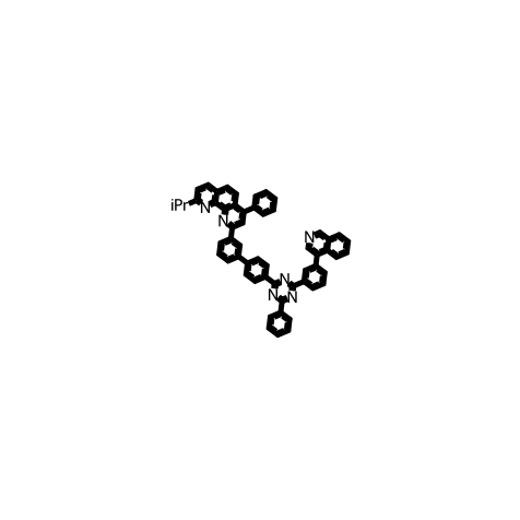 CC(C)c1ccc2ccc3c(-c4ccccc4)cc(-c4cccc(-c5ccc(-c6nc(-c7ccccc7)nc(-c7cccc(-c8cncc9ccccc89)c7)n6)cc5)c4)nc3c2n1